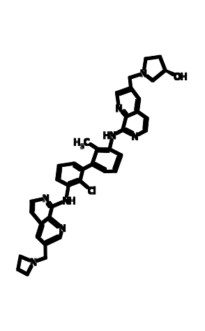 Cc1c(Nc2nccc3cc(CN4CC[C@@H](O)C4)cnc23)cccc1-c1cccc(Nc2nccc3cc(CN4CCC4)cnc23)c1Cl